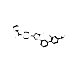 O=C(c1nccs1)N1CCN(C2CC(=O)N(c3cccc(-c4ccc(C(F)(F)F)cc4Cl)c3)C2)CC1